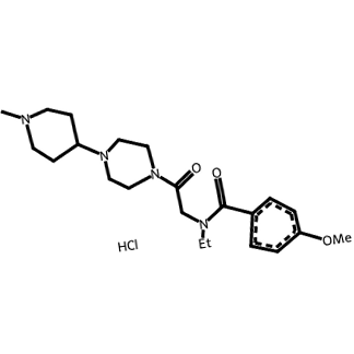 CCN(CC(=O)N1CCN(C2CCN(C)CC2)CC1)C(=O)c1ccc(OC)cc1.Cl